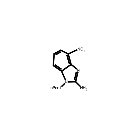 CCCCCn1c(N)nc2c([N+](=O)[O-])cccc21